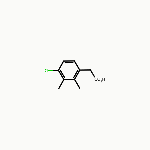 Cc1c(Cl)ccc(CC(=O)O)c1C